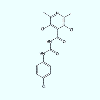 Cc1nc(C)c(Cl)c(C(=O)NC(=O)Nc2ccc(Cl)cc2)c1Cl